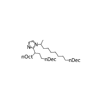 CCCCCCCCCCCCCCCCCC(C)n1ccnc1C(CCCCCCCC)CCCCCCCCCCCC